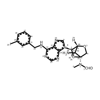 CN(C=O)[C@]12CO[C@@H]([C@H](n3cnc4c(NCc5cccc(I)c5)ncnc43)O1)[C@@H]2N